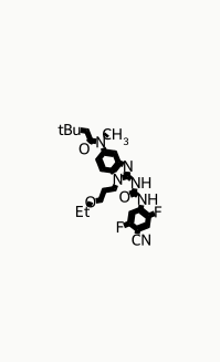 CCOCCCn1c(NC(=O)Nc2cc(F)c(C#N)cc2F)nc2cc(N(C)C(=O)CC(C)(C)C)ccc21